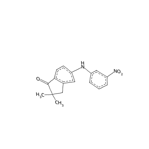 CC1(C)Cc2cc(Nc3cccc([N+](=O)[O-])c3)ccc2C1=O